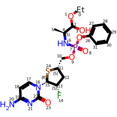 CCOC(O)[C@H](C)NP(=O)(OC[C@@H]1C[C@H](F)[C@H](n2ccc(N)nc2=O)S1)Oc1ccccc1